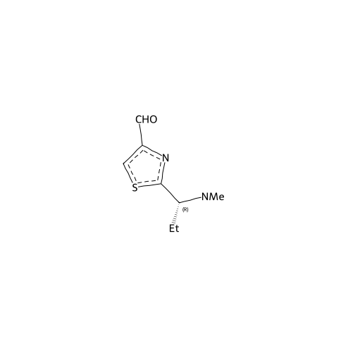 CC[C@@H](NC)c1nc(C=O)cs1